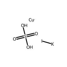 O=S(=O)(O)O.[Cu].[K][I]